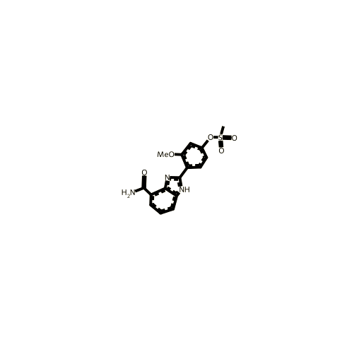 COc1cc(OS(C)(=O)=O)ccc1-c1nc2c(C(N)=O)cccc2[nH]1